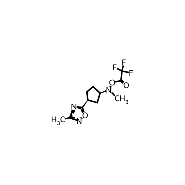 Cc1noc([C@H]2CC[C@@H](N(C)OC(=O)C(F)(F)F)C2)n1